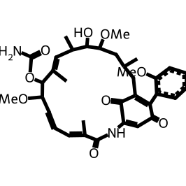 COc1ccccc1C1=C2CC(C)CC(OC)C(O)C(C)/C=C(\C)C(OC(N)=O)C(OC)/C=C\C=C(/C)C(=O)NC(=CC1=O)C2=O